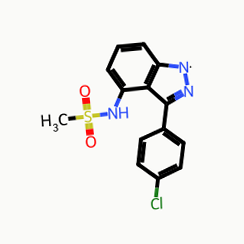 CS(=O)(=O)Nc1cccc2c1C(c1ccc(Cl)cc1)=N[N]2